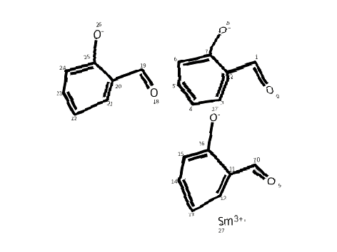 O=Cc1ccccc1[O-].O=Cc1ccccc1[O-].O=Cc1ccccc1[O-].[Sm+3]